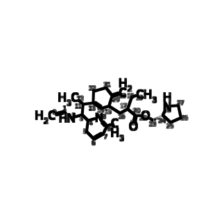 C=CNC(C1CC=CC(C)=N1)C(C)C1=CC(CC(CC)C(=O)OC[C@H]2CCCN2)C(=C)CC1